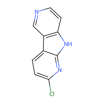 Clc1ccc2c(n1)[nH]c1ccncc12